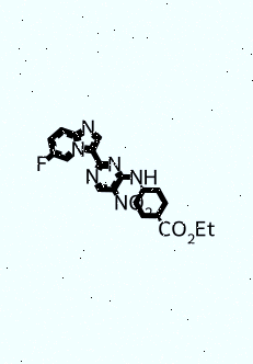 CCOC(=O)[C@H]1CC[C@H](Nc2nc(-c3cnc4ccc(F)cn34)ncc2[N+](=O)[O-])CC1